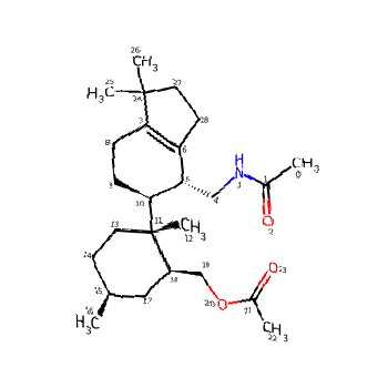 CC(=O)NC[C@H]1C2=C(CC[C@@H]1[C@@]1(C)CC[C@H](C)C[C@@H]1COC(C)=O)C(C)(C)CC2